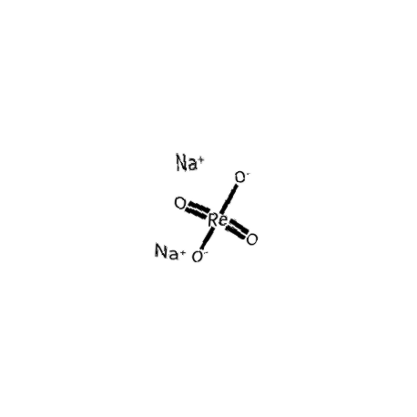 [Na+].[Na+].[O]=[Re](=[O])([O-])[O-]